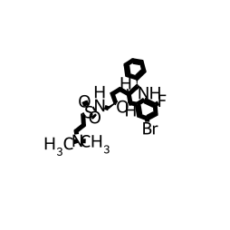 CN(C)CCCS(=O)(=O)NC[C@H]1CC[C@@H]2[C@H](O1)c1cc(Br)cc(F)c1N[C@H]2c1ccccc1